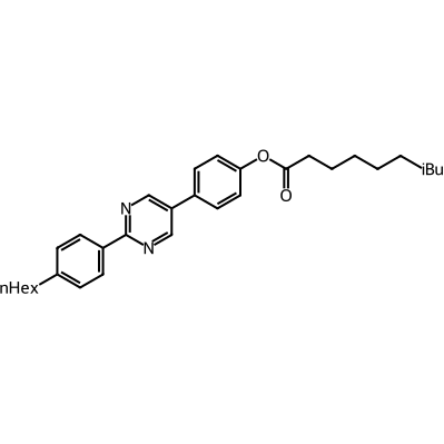 CCCCCCc1ccc(-c2ncc(-c3ccc(OC(=O)CCCCCC(C)CC)cc3)cn2)cc1